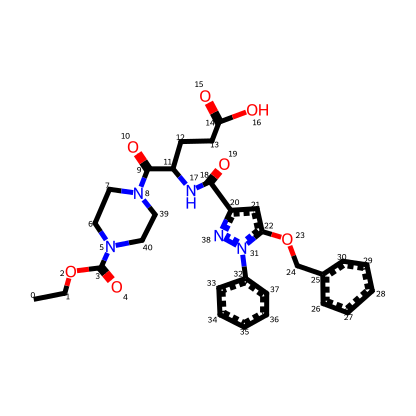 CCOC(=O)N1CCN(C(=O)C(CCC(=O)O)NC(=O)c2cc(OCc3ccccc3)n(-c3ccccc3)n2)CC1